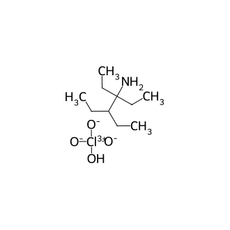 CCC(CC)C(N)(CC)CC.[O-][Cl+3]([O-])([O-])O